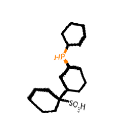 O=S(=O)(O)C1(C2CCCC(PC3CCCCC3)C2)CCCCC1